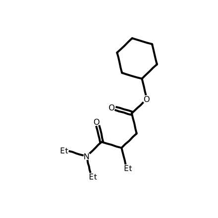 CCC(CC(=O)OC1CCCCC1)C(=O)N(CC)CC